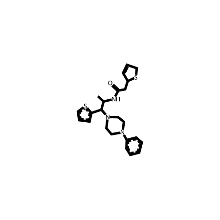 CC(NC(=O)CC1C=CCS1)C(c1cccs1)N1CCN(c2ccccc2)CC1